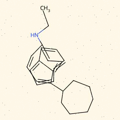 CCNC1=C/C=C(C2=C/C=C\C=C\C=C/2)/C(C2CCCCCC2)=C\C=C/1